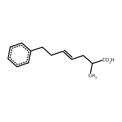 CC(C/C=C/CCc1ccccc1)C(=O)O